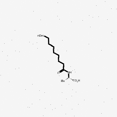 CCCCCCCCCCCCCCCCCC(=O)N[C@H](C(=O)O)[C@@H](C)CC